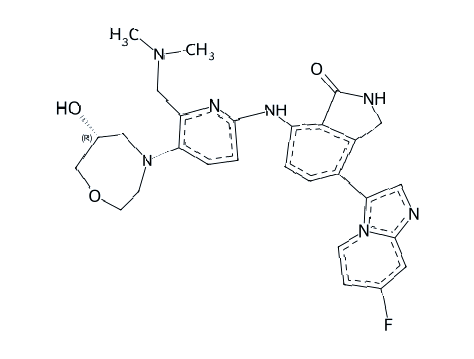 CN(C)Cc1nc(Nc2ccc(-c3cnc4cc(F)ccn34)c3c2C(=O)NC3)ccc1N1CCOC[C@H](O)C1